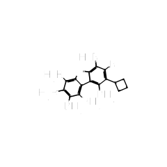 Bc1c(B)c(B)c2c(oc3c(B)c(B)c(C4CCC4)c(B)c32)c1B